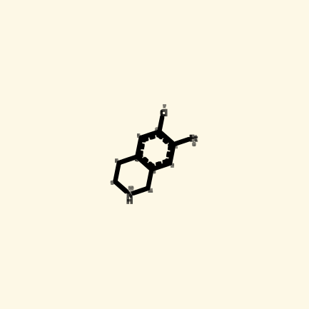 CCc1cc2c(cc1Cl)CCNC2